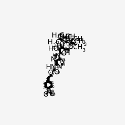 CC(C)[Si]1(C(C)C)OC[C@H]2O[C@@H](n3cnc4c(NC(=O)OCCc5ccc([N+](=O)[O-])cc5)ncnc43)[C@H](O)[C@@H]2O[Si](C(C)C)(C(C)C)O1